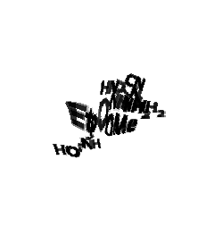 CCP(CCNCCO)c1ccc(Nc2[nH]cc(C#N)c2C(N)N(C)CN)c(OC)c1